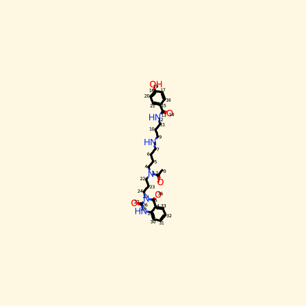 CC(=O)N(CCCCNCCCNC(=O)c1ccc(O)cc1)CCCn1c(=O)[nH]c2ccccc2c1=O